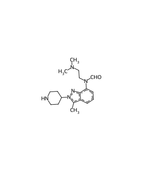 Cc1c2cccc(N(C=O)CCN(C)C)c2nn1C1CCNCC1